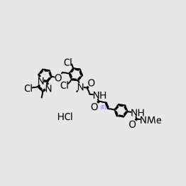 CNC(=O)Nc1ccc(/C=C/C(=O)NCC(=O)N(C)c2ccc(Cl)c(COc3cccn4c(Cl)c(C)nc34)c2Cl)cc1.Cl